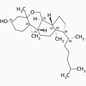 CC(C)CCC[C@@H](C)[C@H]1CC[C@H]2[C@@H]3COC4(C)C[C@@H](O)CC[C@]4(C)[C@H]3CC[C@]12C